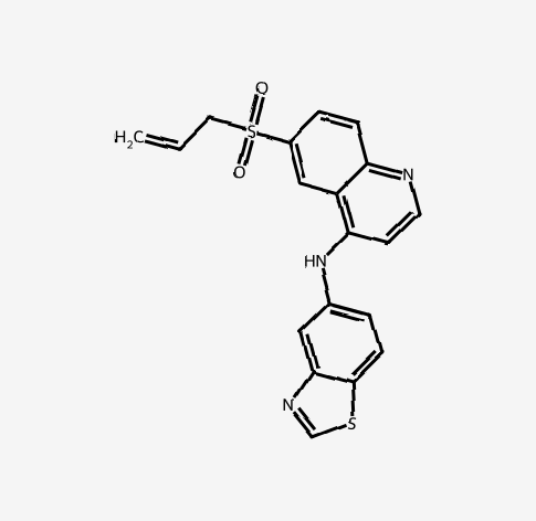 C=CCS(=O)(=O)c1ccc2nccc(Nc3ccc4scnc4c3)c2c1